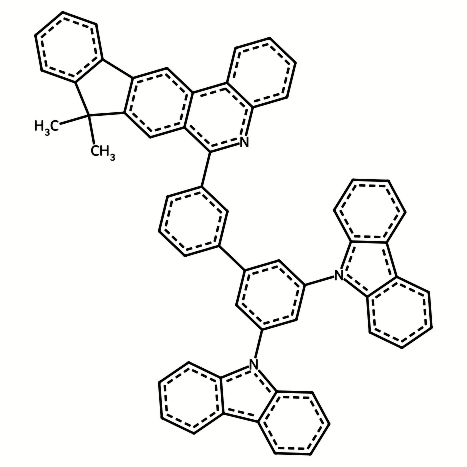 CC1(C)c2ccccc2-c2cc3c(cc21)c(-c1cccc(-c2cc(-n4c5ccccc5c5ccccc54)cc(-n4c5ccccc5c5ccccc54)c2)c1)nc1ccccc13